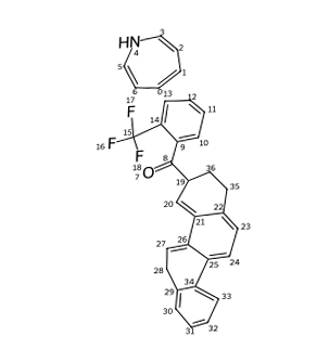 C1=CC=CNC=C1.O=C(c1ccccc1C(F)(F)F)C1C=c2c(ccc3c2=CCc2ccccc2-3)CC1